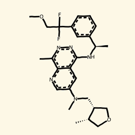 COCC(F)(F)c1cccc([C@@H](C)Nc2nnc(C)c3ncc(N(C)C[C@@H]4COC[C@@H]4C)cc23)c1